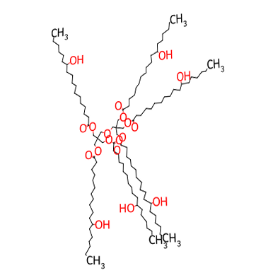 CCCCCCC(O)CCCCCCCCCCC(=O)OCC(COCC(COC(=O)CCCCCCCCCCC(O)CCCCCC)(COC(=O)CCCCCCCCCCC(O)CCCCCC)COC(=O)CCCCCCCCCCC(O)CCCCCC)(COC(=O)CCCCCCCCCCC(O)CCCCCC)COC(=O)CCCCCCCCCCC(O)CCCCCC